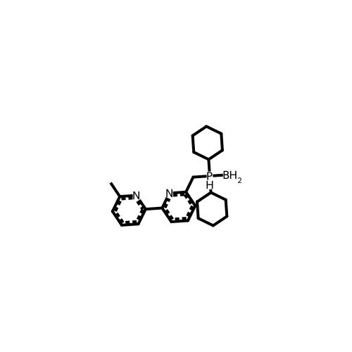 B[PH](Cc1cccc(-c2cccc(C)n2)n1)(C1CCCCC1)C1CCCCC1